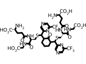 N[C@H](CCC(=O)N[C@@H](CSC(c1cncc(C(F)(F)F)n1)C1CCCC(C(SC[C@H](NC(=O)CC[C@H](N)C(=O)O)C(=O)NCC(=O)O)c2cncc(C(F)(F)F)n2)C1=O)C(=O)NCC(=O)O)C(=O)O